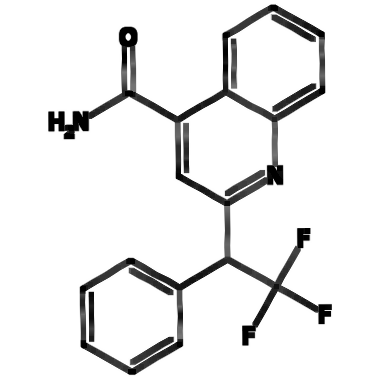 NC(=O)c1cc(C(c2ccccc2)C(F)(F)F)nc2ccccc12